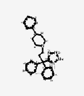 c1ccc(C2CCN(CCC(c3ccccc3)(c3ccccc3)c3nnn[nH]3)CC2)cc1